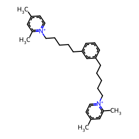 Cc1cc[n+](CCCCCc2cccc(CCCCC[n+]3ccc(C)cc3C)c2)c(C)c1